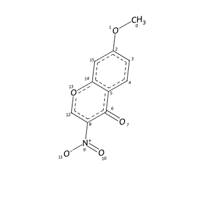 COc1ccc2c(=O)c([N+](=O)[O-])coc2c1